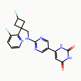 O=c1cc(-c2cnc(NCC3(c4ncccc4F)CC(F)C3)nc2)[nH]c(=O)[nH]1